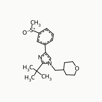 C[S+]([O-])c1cccc(-c2cn(CC3CCOCC3)c(C(C)(C)C)n2)c1